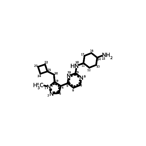 Cn1ncc(-c2ccnc(NC3CCC(N)CC3)n2)c1CC1CCC1